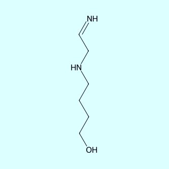 N=CCNCCCCO